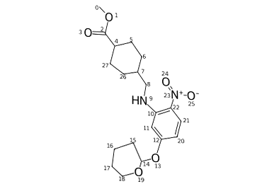 COC(=O)C1CCC(CNc2cc(OC3CCCCO3)ccc2[N+](=O)[O-])CC1